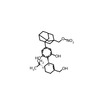 C=C(C)[C@H]1CCC(CO)=C[C@@H]1c1c(O)cc(C23CC4CC(CC(CO[N+](=O)[O-])(C4)C2)C3)cc1O